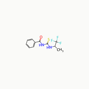 CC(NC(=S)NC(=O)c1ccccc1)C(F)(F)F